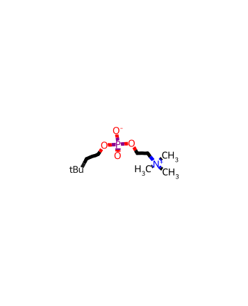 CC(C)(C)CCOP(=O)([O-])OCC[N+](C)(C)C